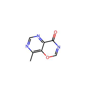 Cc1ncnc2c(=O)ncoc12